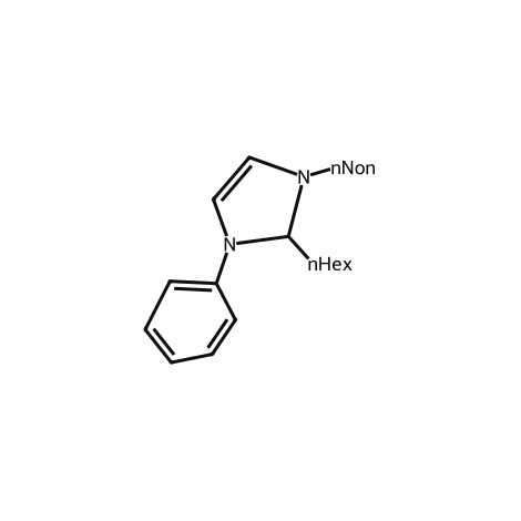 CCCCCCCCCN1C=CN(c2ccccc2)C1CCCCCC